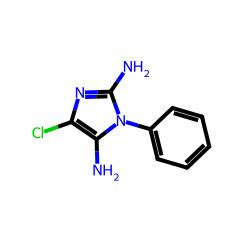 Nc1nc(Cl)c(N)n1-c1ccccc1